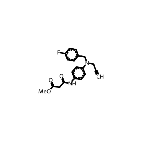 C#CCN(Cc1ccc(F)cc1)c1ccc(NC(=O)CC(=O)OC)cc1